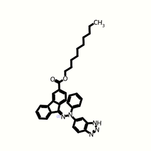 CCCCCCCCCCOC(=O)c1ccc2c(c1)-c1ccccc1/C2=N/N(c1ccccc1)c1ccc2nn[nH]c2c1